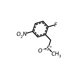 C[S+]([O-])Cc1cc([N+](=O)[O-])ccc1F